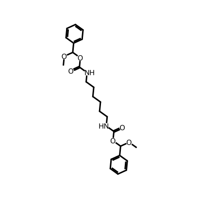 COC(OC(=O)NCCCCCCNC(=O)OC(OC)c1ccccc1)c1ccccc1